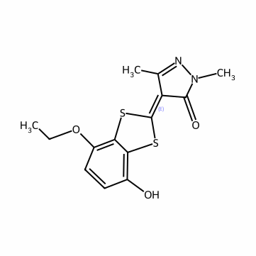 CCOc1ccc(O)c2c1S/C(=C1/C(=O)N(C)N=C1C)S2